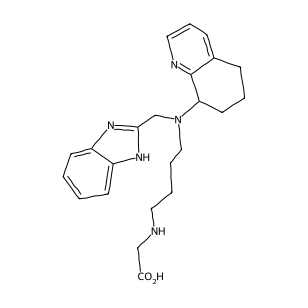 O=C(O)CNCCCCN(Cc1nc2ccccc2[nH]1)C1CCCc2cccnc21